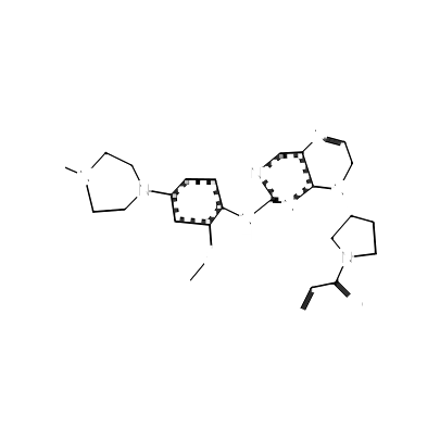 C=CC(=O)N1CC[C@@H](N2CC=Nc3cnc(Nc4ccc(N5CCN(C)CC5)cc4OC)nc32)C1